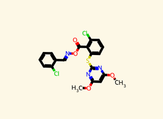 COc1cc(OC)nc(Sc2cccc(Cl)c2C(=O)O/N=C/c2ccccc2Cl)n1